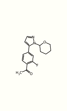 CC(=O)c1ccc(-c2ccnn2C2CCCCO2)cc1F